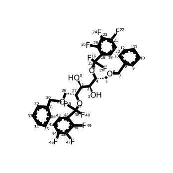 O[C@@H]([C@H](O)[C@@H](COCc1ccccc1)OC(F)(F)c1ccc(F)c(F)c1F)[C@@H](COCc1ccccc1)OC(F)(F)c1ccc(F)c(F)c1F